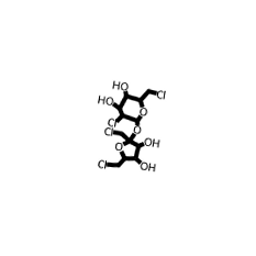 OC1C(CCl)OC(OC2(CCl)OC(CCl)C(O)C2O)C(Cl)C1O